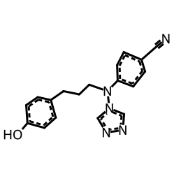 N#Cc1ccc(N(CCCc2ccc(O)cc2)n2cnnc2)cc1